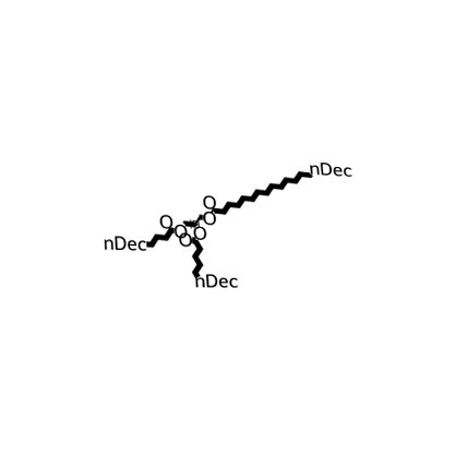 CCCCCCCCCCCCCCCCCCCCCCCC(=O)OC[C@H](COC(=O)CCCCCCCCCCCCC)OC(=O)CCCCCCCCCCCCCC